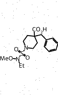 CCN(OC)S(=O)(=O)N1CCC(Cc2ccccc2)(C(=O)O)CC1